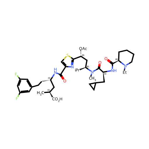 CCN1CCCC[C@@H]1C(=O)N[C@@H](CC1CC1)C(=O)N(C)[C@H](C[C@@H](OC(C)=O)c1nc(C(=O)N[C@@H](CCc2cc(F)cc(F)c2)C[C@H](C)C(=O)O)cs1)C(C)C